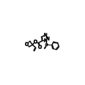 C=CC1(OC(=O)c2cnnn2[C@H](C)c2ccccc2)COC1